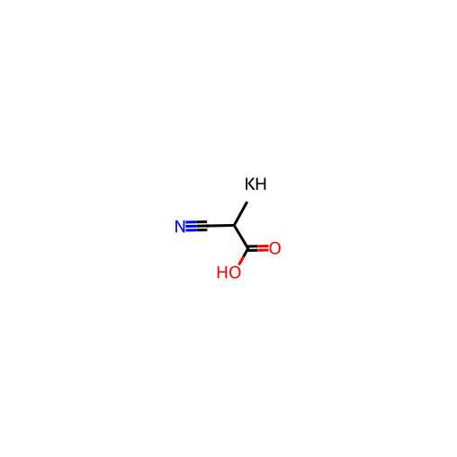 CC(C#N)C(=O)O.[KH]